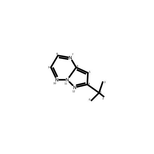 CC(C)(C)c1cc2nccnn2n1